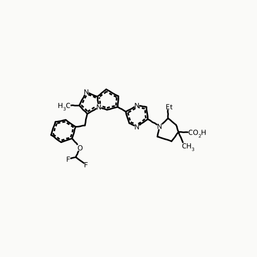 CCC1CC(C)(C(=O)O)CCN1c1cnc(-c2ccc3nc(C)c(Cc4ccccc4OC(F)F)n3c2)cn1